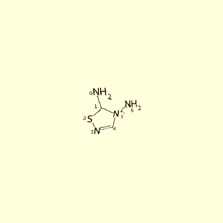 NC1SN=C[N+]1N